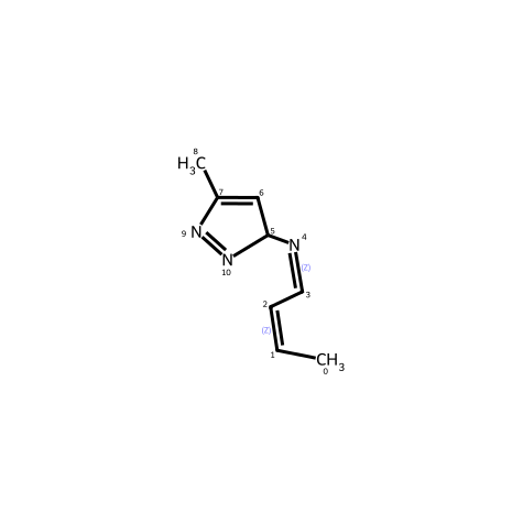 C/C=C\C=N/C1C=C(C)N=N1